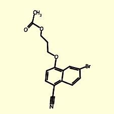 CC(=O)OCCCOc1ccc(C#N)c2ccc(Br)cc12